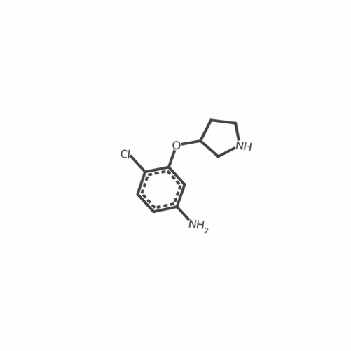 Nc1ccc(Cl)c(OC2CCNC2)c1